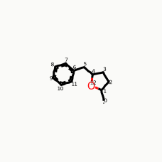 [CH2]C1CCC(Cc2ccccc2)O1